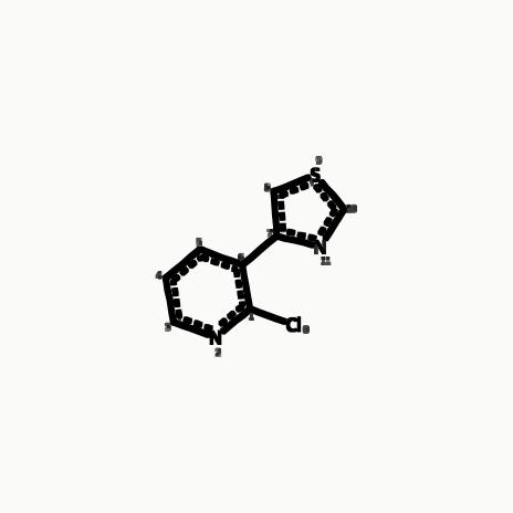 Clc1ncccc1-c1cscn1